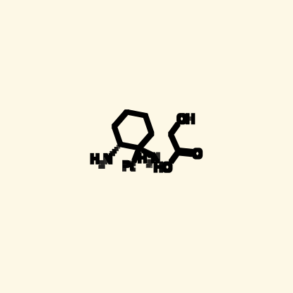 N[C@@H]1CCCC[C@]1(N)[Pt].O=C(O)CO